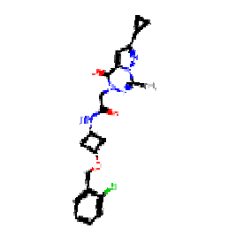 Cc1nn(CC(=O)N[C@H]2C[C@@H](OCc3ccccc3Cl)C2)c(=O)c2cc(C3CC3)nn12